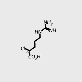 N=C(N)NCCC[C@H](Cl)C(=O)O